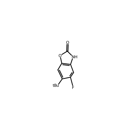 CC(C)(C)c1cc2oc(=O)[nH]c2cc1F